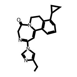 CCc1cn(C2=NCC(=O)N3CCc4c(cccc4C4CC4)C3=C2)cn1